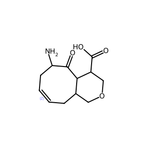 NC1C/C=C\CC2COCC(C(=O)O)C2C1=O